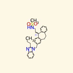 CCCc1nc2ccccc2n1Cc1ccc2c(c1)CCc1ccccc1/C2=C\CNS(C)(=O)=O